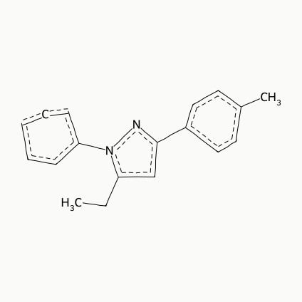 CCc1cc(-c2ccc(C)cc2)nn1-c1ccccc1